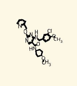 COc1ccc(CNc2nc(OCc3ccccn3)ncc2C(=O)N[C@H]2CC[C@H](OC)CC2)cc1Cl